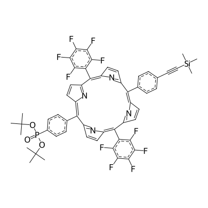 CC(C)(C)OP(=O)(OC(C)(C)C)c1ccc(C2=C3C=CC(=N3)C(c3c(F)c(F)c(F)c(F)c3F)=C3C=CC(=N3)C(c3ccc(C#C[Si](C)(C)C)cc3)=C3C=CC(=N3)C(c3c(F)c(F)c(F)c(F)c3F)=C3C=CC2=N3)cc1